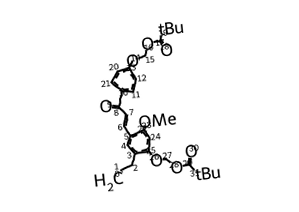 C=CCc1cc(C=CC(=O)c2ccc(OCOC(=O)C(C)(C)C)cc2)c(OC)cc1OCOC(=O)C(C)(C)C